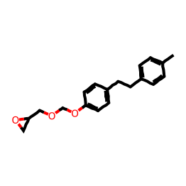 Cc1ccc(CCc2ccc(OCOCC3CO3)cc2)cc1